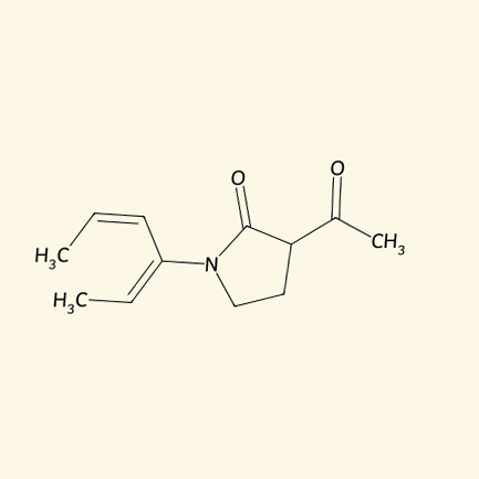 C/C=C\C(=C/C)N1CCC(C(C)=O)C1=O